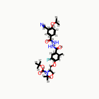 Cc1cc(OC[C@H]2COC(C)(C)N2C(=O)OC(C)(C)C)c(F)cc1C(=O)NNC(=O)c1ccc(OC(C)C)c(C#N)c1